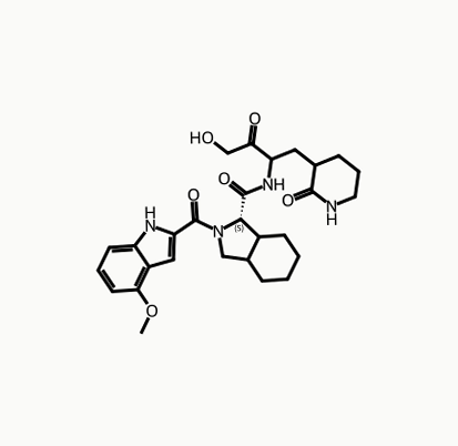 COc1cccc2[nH]c(C(=O)N3CC4CCCCC4[C@H]3C(=O)NC(CC3CCCNC3=O)C(=O)CO)cc12